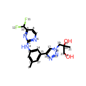 Cc1cc(Nc2nccc(C(F)F)n2)cc(-c2cn(CC(C)(O)CO)nn2)c1